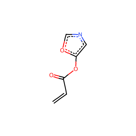 C=CC(=O)Oc1cnco1